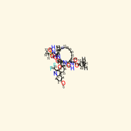 COc1ccc2nc(C(F)F)c3c(c2c1)CC[C@]1(C[C@H]2C(=O)N[C@]4(C(=O)NS(=O)(=O)C5(C)CC5)C[C@H]4/C=C\CCCCC[C@H](NC(=O)O[C@@H]4C[C@@H]5C[C@@H]5C4)C(=O)N2C1)O3